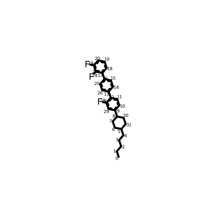 CCCCCC1CCC(c2ccc(-c3ccc(-c4cccc(F)c4F)cc3)c(F)c2)CC1